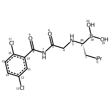 CC(C)C[C@H](NCC(=O)NC(=O)c1cc(Cl)ccc1Cl)B(O)O